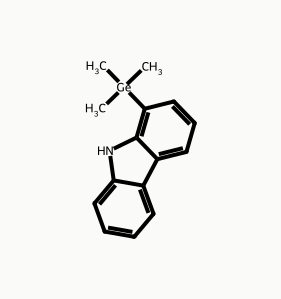 [CH3][Ge]([CH3])([CH3])[c]1cccc2c1[nH]c1ccccc12